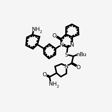 CCCCC(Sc1nc2ccccc2c(=O)n1-c1cccc(-c2cccc(N)c2)c1)C(=O)N1CCC(C(N)=O)CC1